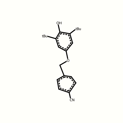 CC(C)(C)c1cc(OCc2ccc(C#N)cc2)cc(C(C)(C)C)c1O